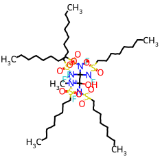 CCCCCCCCS(=O)(=O)N(F)C(N(F)S(=O)(=O)CCCCCCCC)(N(F)S(=O)(=O)CCCCCCCC)C(O)(N(F)S(=O)(=O)CCCCCCCC)[N+](C)(F)S(=O)(=O)CCCCCCCC